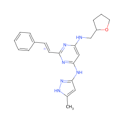 Cc1cc(Nc2cc(NCC3CCCO3)nc(/C=C/c3ccccc3)n2)n[nH]1